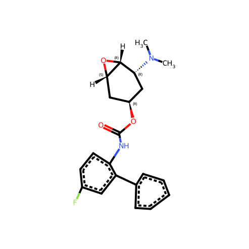 CN(C)[C@@H]1C[C@@H](OC(=O)Nc2ccc(F)cc2-c2ccccc2)C[C@@H]2O[C@@H]21